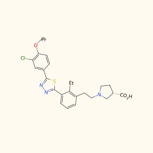 CCc1c(CCN2CC[C@H](C(=O)O)C2)cccc1-c1nnc(-c2ccc(OC(C)C)c(Cl)c2)s1